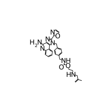 C=C(C)CNCCOC(=O)NCc1ccc(Cn2c(-c3ncco3)nc3c(N)nc4ccccc4c32)cc1